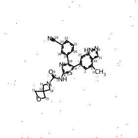 Cc1cc(-c2sc(NC(=O)N3CC4(COC4)C3)nc2-c2cccc(C#N)c2)cc2[nH]ncc12